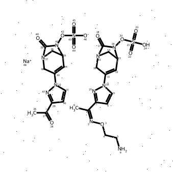 C/C(=N/OCCN)c1ccn(C2=CC3CN(C2)C(=O)N3OS(=O)(=O)O)n1.CC(=O)c1ccn(C2=CC3CN(C2)C(=O)N3OS(=O)(=O)[O-])n1.[Na+]